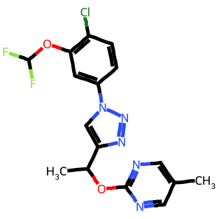 Cc1cnc(OC(C)c2cn(-c3ccc(Cl)c(OC(F)F)c3)nn2)nc1